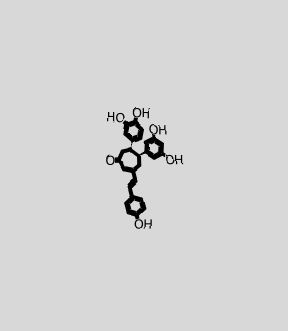 O=C1C=C(/C=C/c2ccc(O)cc2)C[C@H](c2cc(O)cc(O)c2)[C@@H](c2ccc(O)c(O)c2)C1